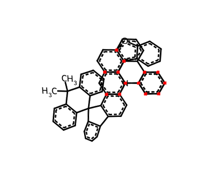 CC1(C)c2ccccc2C2(c3ccccc3-c3ccc(N(c4ccccc4-c4ccccc4-c4ccccc4-c4ccccc4)c4cccc5oc6ccccc6c45)cc32)c2ccccc21